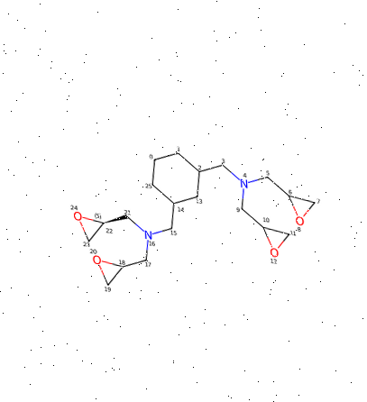 C1CC(CN(CC2CO2)CC2CO2)CC(CN(CC2CO2)C[C@H]2CO2)C1